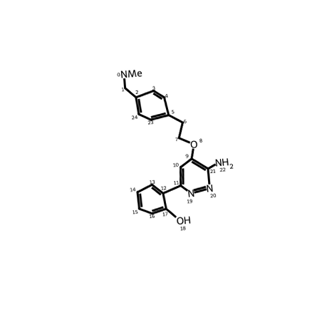 CNCc1ccc(CCOc2cc(-c3ccccc3O)nnc2N)cc1